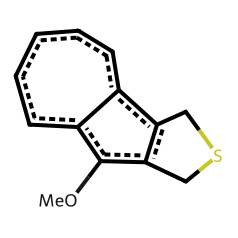 COc1c2cccccc-2c2c1CSC2